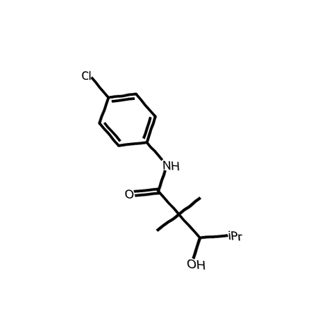 CC(C)C(O)C(C)(C)C(=O)Nc1ccc(Cl)cc1